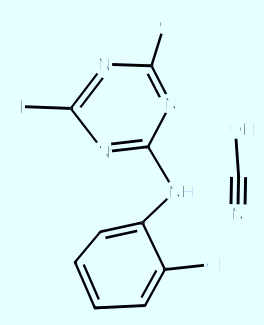 Clc1nc(Cl)nc(Nc2ccccc2Cl)n1.N#CO